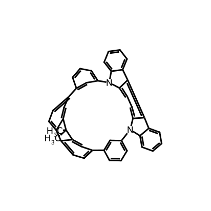 CC1(C)c2cc3ccc2-c2ccc(cc21)-c1cccc(c1)-n1c2ccccc2c2c4c5ccccc5n(c4ccc21)-c1cccc-3c1